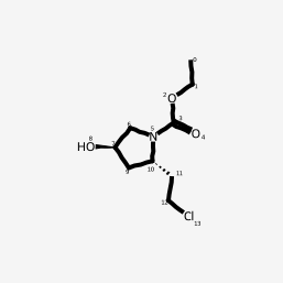 CCOC(=O)N1C[C@H](O)C[C@H]1CCCl